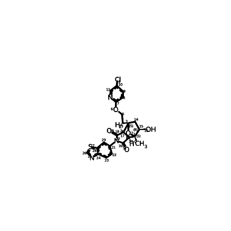 C[C@@]12O[C@@](CCOc3ccc(Cl)cn3)(C[C@H]1O)[C@@H]1C(=O)N(c3ccc4ncsc4c3)C(=O)[C@@H]12